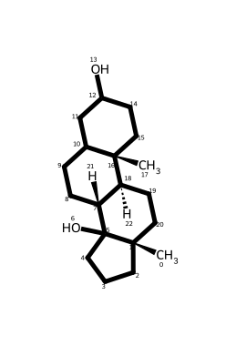 C[C@@]12CCCC1(O)[C@@H]1CCC3CC(O)CC[C@]3(C)[C@H]1CC2